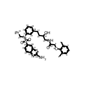 Cc1cccc(C)c1OCC(=O)NCC(O)CCc1cccc(N(CC(C)C)S(=O)(=O)c2ccc3nc(N)sc3c2)c1